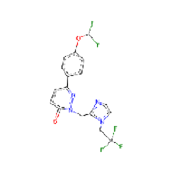 O=c1ccc(-c2ccc(OC(F)F)cc2)nn1Cc1nccn1CC(F)(F)F